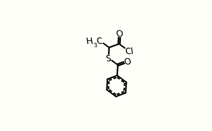 CC(SC(=O)c1ccccc1)C(=O)Cl